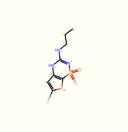 CCCNC1=NS(=O)(=O)c2sc(F)cc2N1